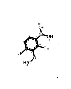 COc1c(F)ccc(B(O)O)c1F